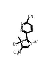 CC[N+]1(C)C([N+](=O)[O-])=C[N+]([S-])=C1c1ccc(C#N)nn1